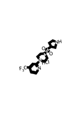 Cl.O=S(=O)(C1CCNC1)N1CCN(c2cc(C(F)(F)F)ccn2)CC1